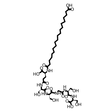 O=C(O)CCCCCCCCCCCCCCCCCCC(=O)N[C@@H](CCC(=O)N[C@@H](CO)C(=O)N[C@@H](CO)C(=O)NCC(=O)N[C@@H](CO)C(=O)N[C@@H](CO)C(=O)O)C(=O)O